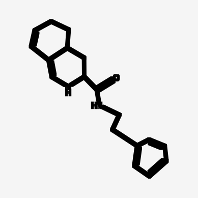 O=C(NCCc1ccccc1)C1CC2CCC=CC2=CN1